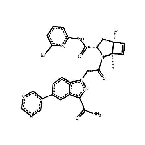 NC(=O)c1nn(CC(=O)N2[C@@H]3C=C[C@@H]3C[C@H]2C(=O)Nc2cccc(Br)n2)c2ccc(-c3cncnc3)cc12